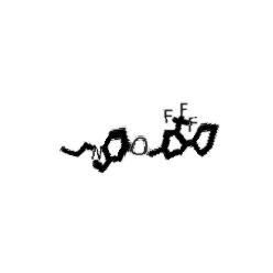 CCCn1ccc2cc(OCc3ccc(C4CCCC4)c(C(F)(F)F)c3)ccc21